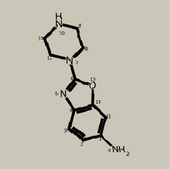 Nc1ccc2nc(N3CCNCC3)oc2c1